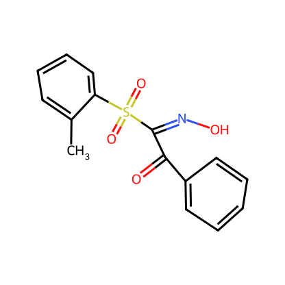 Cc1ccccc1S(=O)(=O)C(=NO)C(=O)c1ccccc1